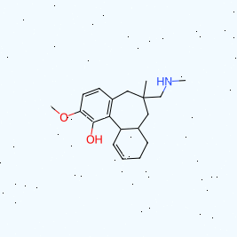 CNCC1(C)Cc2ccc(OC)c(O)c2C2C=CCCC2C1